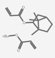 C=CC(=O)OC1CC2CCC1(C)C2(C)C.C=CC(=O)OCCCC